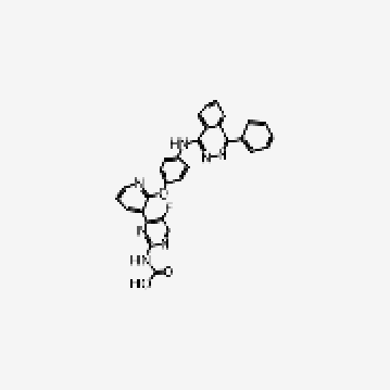 O=C(O)Nc1ncc(F)c(-c2cccnc2Oc2ccc(Nc3nnc(-c4ccccc4)c4ccccc34)cc2)n1